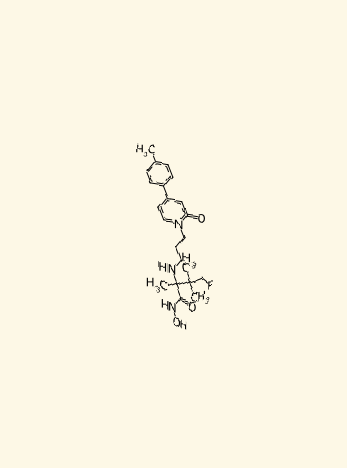 Cc1ccc(-c2ccn(CCCNC(C)(C(=O)NO)C(C)(C)CF)c(=O)c2)cc1